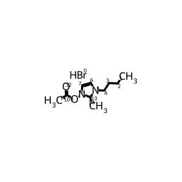 Br.CCCCN1C=CN(OC(C)=O)C1C